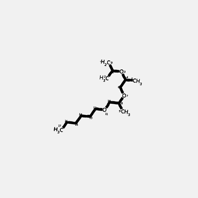 [CH2]C(C)OC(C)COC(C)COCCCCCC